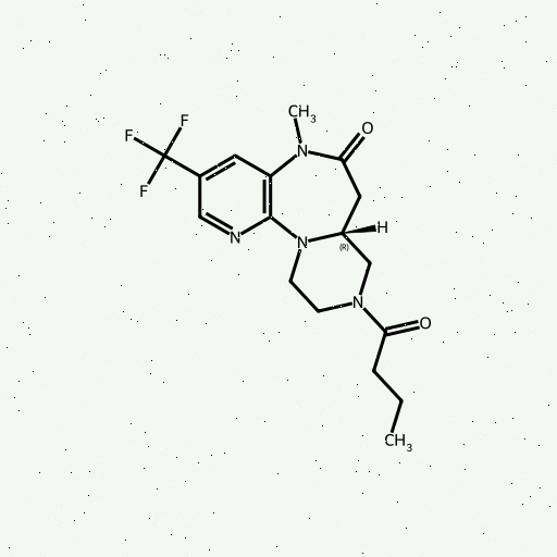 CCCC(=O)N1CCN2c3ncc(C(F)(F)F)cc3N(C)C(=O)C[C@@H]2C1